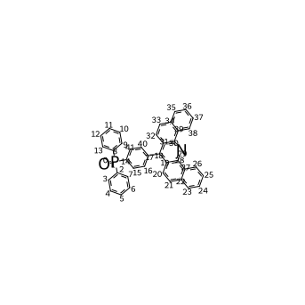 O=P(c1ccccc1)(c1ccccc1)c1ccc(-c2c3ccc4ccccc4c3nc3c2ccc2ccccc23)cc1